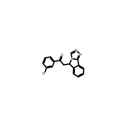 O=C(CC1c2ccccc2-c2nncn21)c1cccc(Cl)c1